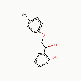 CCCc1ccc(OCC(O)c2ccccc2O)cc1